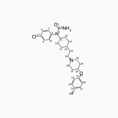 NC(=O)N(c1ccc(Cl)cc1)C1CCC(CCN2CCC(Oc3ccc(F)cc3)CC2)CC1